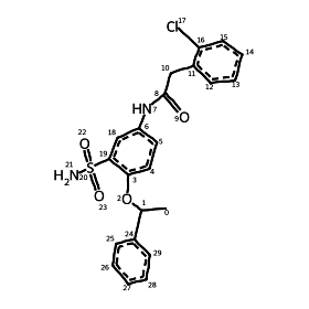 CC(Oc1ccc(NC(=O)Cc2ccccc2Cl)cc1S(N)(=O)=O)c1ccccc1